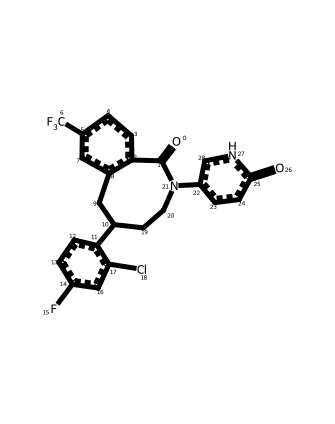 O=C1c2ccc(C(F)(F)F)cc2CC(c2ccc(F)cc2Cl)CCN1c1ccc(=O)[nH]c1